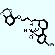 CCCc1ccc(S(N)(=O)=O)c(-c2cccc(CNCCOc3cccc4c3OCCO4)c2)c1